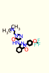 CN(C)CCn1cncc(Nc2nn(-c3ccc(OC(F)(F)F)cc3)c(=O)c3c2CCCC3)c1=O